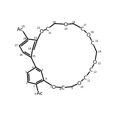 CC(=O)c1ccc2cc1OCCOCCOCCOCCOCCOc1cc-2ccc1C(C)=O